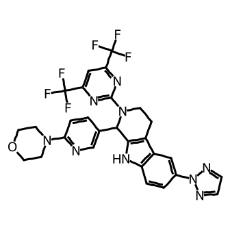 FC(F)(F)c1cc(C(F)(F)F)nc(N2CCc3c([nH]c4ccc(-n5nccn5)cc34)C2c2ccc(N3CCOCC3)nc2)n1